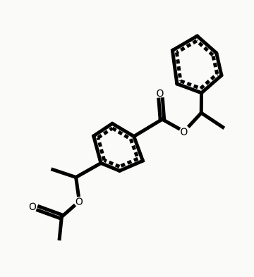 CC(=O)OC(C)c1ccc(C(=O)OC(C)c2ccccc2)cc1